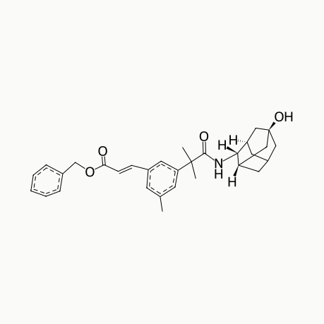 Cc1cc(/C=C/C(=O)OCc2ccccc2)cc(C(C)(C)C(=O)N[C@@H]2[C@@H]3CC4C[C@H]2C[C@@](O)(C4)C3)c1